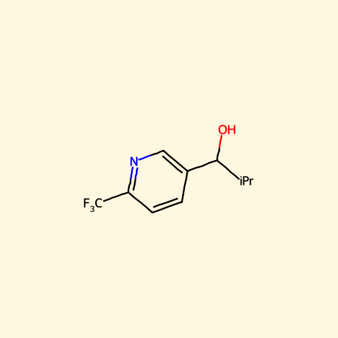 CC(C)C(O)c1ccc(C(F)(F)F)nc1